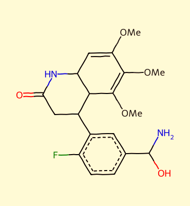 COC1=CC2NC(=O)CC(c3cc(C(N)O)ccc3F)C2C(OC)=C1OC